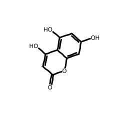 O=c1[c]c(O)c2c(O)cc(O)cc2o1